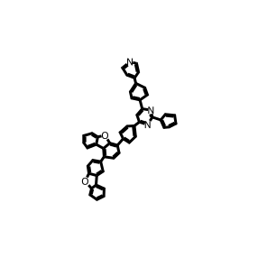 c1ccc(-c2nc(-c3ccc(-c4ccncc4)cc3)cc(-c3ccc(-c4ccc(-c5ccc6oc7ccccc7c6c5)c5c4oc4ccccc45)cc3)n2)cc1